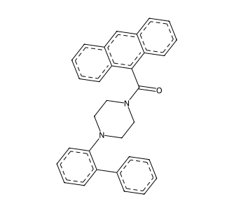 O=C(c1c2ccccc2cc2ccccc12)N1CCN(c2ccccc2-c2ccccc2)CC1